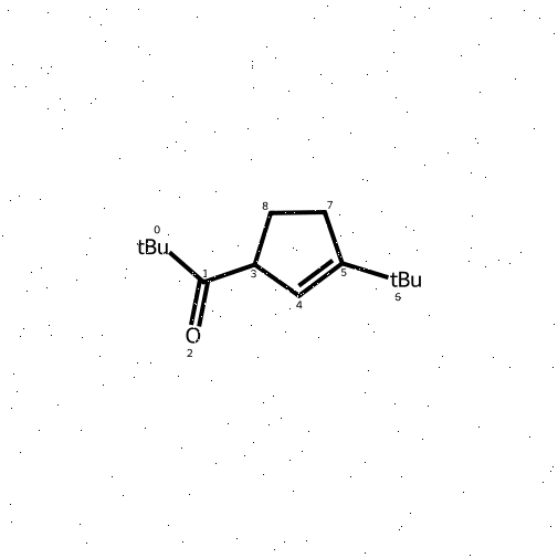 CC(C)(C)C(=O)C1C=C(C(C)(C)C)CC1